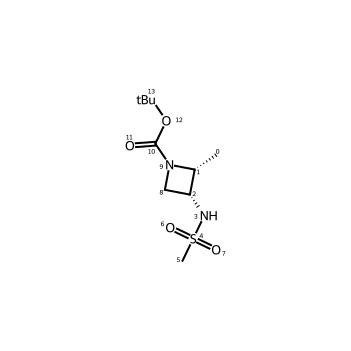 C[C@@H]1[C@H](NS(C)(=O)=O)CN1C(=O)OC(C)(C)C